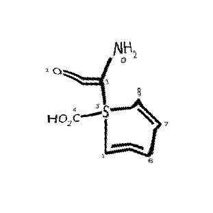 NC(=O)S1(C(=O)O)C=CC=C1